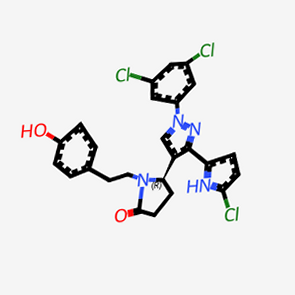 O=C1CC[C@H](c2cn(-c3cc(Cl)cc(Cl)c3)nc2-c2ccc(Cl)[nH]2)N1CCc1ccc(O)cc1